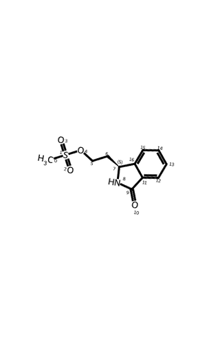 CS(=O)(=O)OCC[C@@H]1NC(=O)c2ccccc21